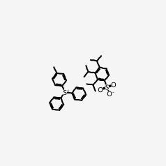 CC(C)c1ccc(S(=O)(=O)[O-])c(C(C)C)c1C(C)C.Cc1ccc([S+](c2ccccc2)c2ccccc2)cc1